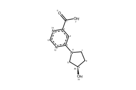 O=C(O)c1cc(N2CC[C@@H](O)C2)ncn1